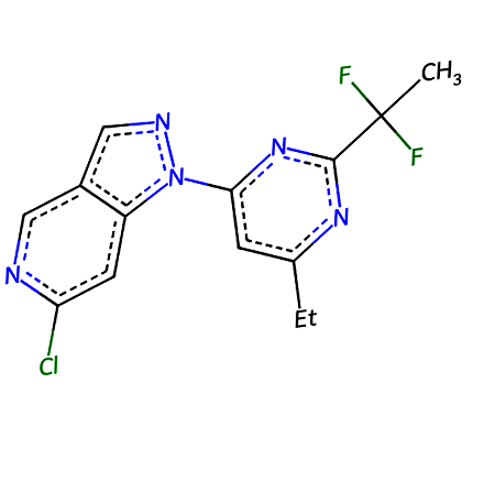 CCc1cc(-n2ncc3cnc(Cl)cc32)nc(C(C)(F)F)n1